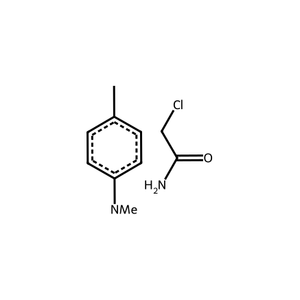 CNc1ccc(C)cc1.NC(=O)CCl